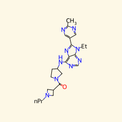 CCCN1CC(C(=O)N2CCC(Nc3ncnc4c3nc(-c3cnc(C)nc3)n4CC)C2)C1